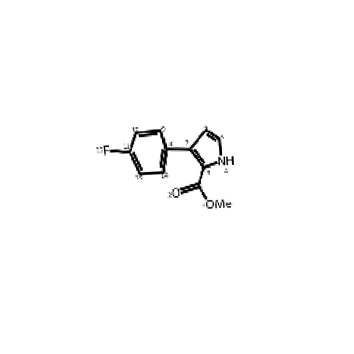 COC(=O)c1[nH]ccc1-c1ccc(F)cc1